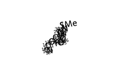 CSc1ncnn2c([C@@H]3O[C@H](COc4ccc5cccnc5c4)[C@H]4OC(C)(C)O[C@H]43)ccc12